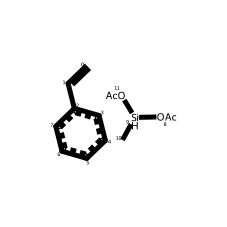 C=Cc1ccccc1.CC(=O)O[SiH](C)OC(C)=O